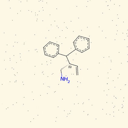 C=C[C@H](CN)C(c1ccccc1)c1ccccc1